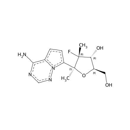 C[C@@]1(c2ccc3c(N)ncnn23)O[C@H](CO)[C@@H](O)[C@@]1(C)F